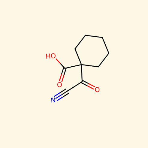 N#CC(=O)C1(C(=O)O)CCCCC1